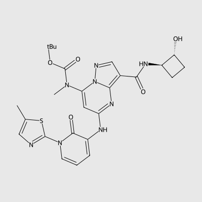 Cc1cnc(-n2cccc(Nc3cc(N(C)C(=O)OC(C)(C)C)n4ncc(C(=O)N[C@@H]5CC[C@H]5O)c4n3)c2=O)s1